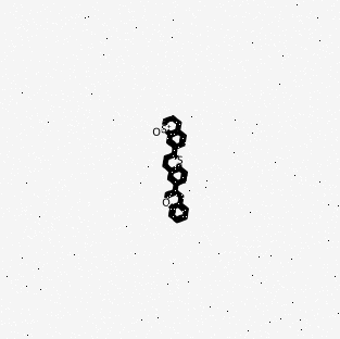 [O-][S+]1CCCc2ccc(C3CCc4cc(C5=COc6ccccc6C5)ccc4S3)cc21